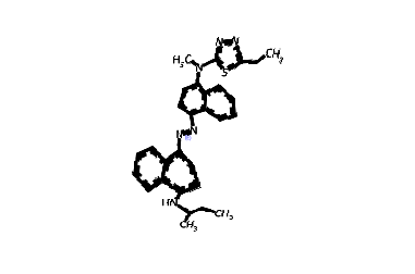 CCc1nnc(N(C)c2ccc(/N=N/c3ccc(NC(C)CC)c4ccccc34)c3ccccc23)s1